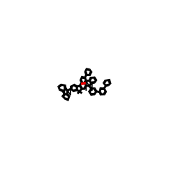 CC1(C)c2cc(N(c3cccc(-c4cccc(-c5ccccc5)c4)c3)c3ccccc3-c3ccccc3-c3ccccc3)ccc2-c2ccc(-n3c4ccccc4c4ccccc43)cc21